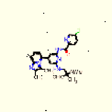 CNC(C)(C=O)CNc1cc(-c2cccc3nc(C)c(C)n23)cc(NC(=O)c2ccc(Cl)cn2)n1